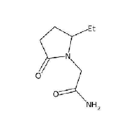 CCC1CCC(=O)N1CC(N)=O